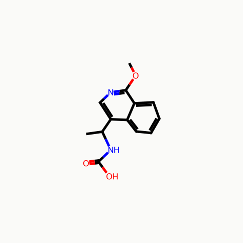 COc1ncc(C(C)NC(=O)O)c2ccccc12